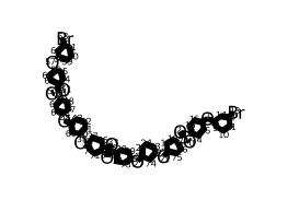 O=S(=O)(c1ccc(Oc2cccc(Br)c2)cc1)c1ccc(Oc2cccc(Oc3ccc(S(=O)(=O)c4ccc(Oc5cccc(Oc6ccc(S(=O)(=O)c7ccc(Oc8cccc(Br)c8)cc7)cc6)c5)cc4)cc3)c2)cc1